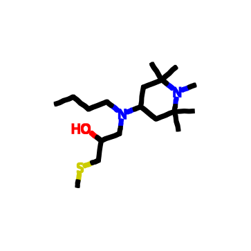 CCCCN(CC(O)CSC)C1CC(C)(C)N(C)C(C)(C)C1